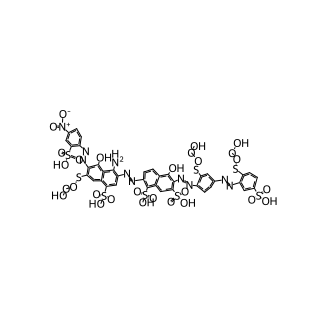 Nc1c(N=Nc2ccc3c(O)c(N=Nc4ccc(N=Nc5cc(S(=O)(=O)O)ccc5SOOO)cc4SOOO)c(S(=O)(=O)O)cc3c2S(=O)(=O)O)cc(S(=O)(=O)O)c2cc(SOOO)c(N=Nc3ccc([N+](=O)[O-])cc3S(=O)(=O)O)c(O)c12